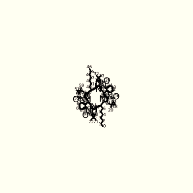 CCCCCCCc1c2nc(c(-c3c(NC(=O)[C@H]4CC4(C)C)cccc3NC(=O)[C@@H]3CC3(C)C)c3ccc([nH]3)c(CCCCCCC)c3nc(c(-c4c(NC(=O)[C@H]5CC5(C)C)cccc4NC(=O)[C@@H]4CC4(C)C)c4ccc1[nH]4)C=C3)C=C2